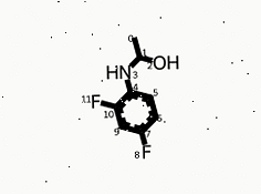 CC(O)Nc1ccc(F)cc1F